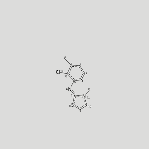 Cc1cccc(N=c2sccn2C)c1Cl